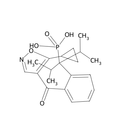 CC(C)C(c1ccccc1C(=O)c1cnoc1C1CC1)(C(C)C)P(=O)(O)O